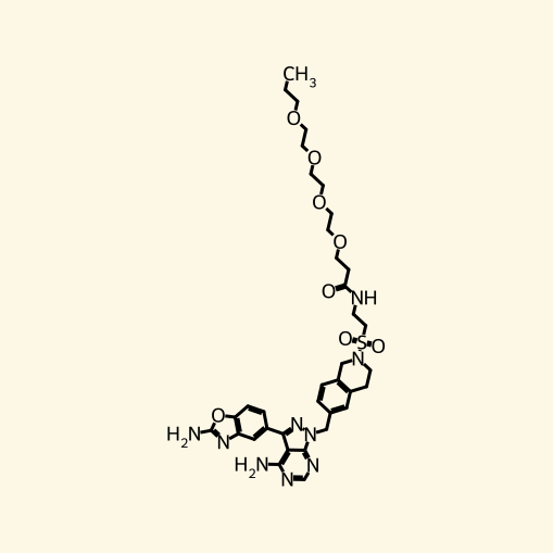 CCCOCCOCCOCCOCCC(=O)NCCS(=O)(=O)N1CCc2cc(Cn3nc(-c4ccc5oc(N)nc5c4)c4c(N)ncnc43)ccc2C1